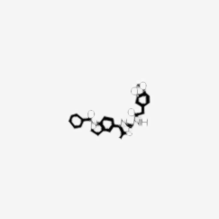 Cc1sc(NC(=O)Cc2ccc3c(c2)OCO3)nc1-c1ccc2c(c1)CCN2C(=O)C1CCCCC1